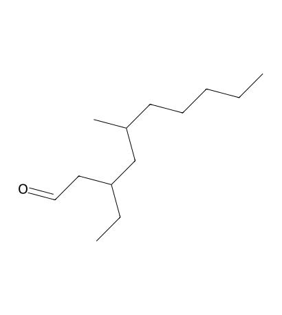 CCCCCC(C)CC(CC)CC=O